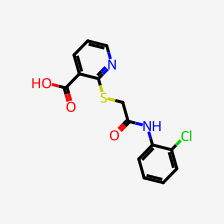 O=C(CSc1ncccc1C(=O)O)Nc1ccccc1Cl